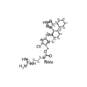 CCCCc1nc(Cl)c(COC(=O)[C@@H](CCCNC(=N)N)NC)n1Cc1ccc(-c2ccccc2-c2nn[nH]n2)cc1